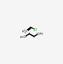 C=CCl.CC(=O)OCCOC(C)=O